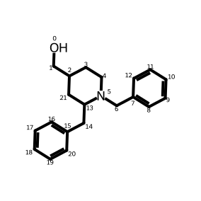 OCC1CCN(Cc2ccccc2)C(Cc2ccccc2)C1